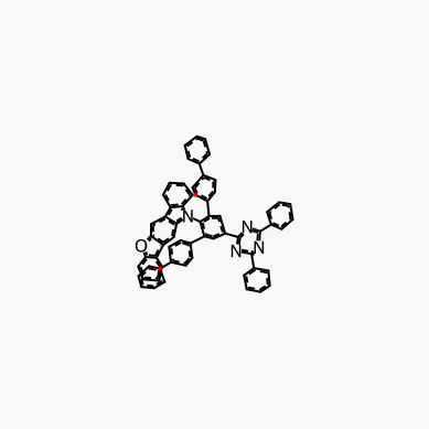 c1ccc(-c2ccc(-c3cc(-c4nc(-c5ccccc5)nc(-c5ccccc5)n4)cc(-c4ccc(-c5ccccc5)cc4)c3-n3c4ccccc4c4cc5oc6ccccc6c5cc43)cc2)cc1